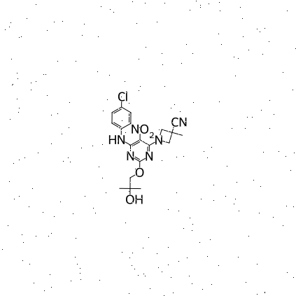 CC(C)(O)COc1nc(Nc2ccc(Cl)cc2)c([N+](=O)[O-])c(N2CC(C)(C#N)C2)n1